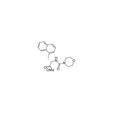 COC(=O)[C@H](Cc1cccc2ccccc12)NC(=O)N1CCOCC1